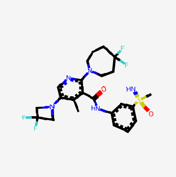 Cc1c(N2CC(F)(F)C2)cnc(N2CCCC(F)(F)CC2)c1C(=O)Nc1cccc(S(C)(=N)=O)c1